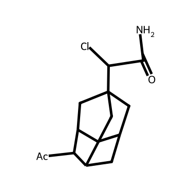 CC(=O)C1C2CC3CC1CC(C(Cl)C(N)=O)(C3)C2